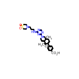 CC1(C)C(c2ccc(C(=O)O)cc2)=CC[C@]2(C)CN(c3ncnc(NCCCN4CCS(=O)(=O)CC4)n3)CC=C12